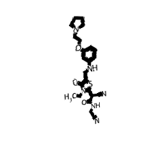 CCn1c(=C(C#N)C(=O)NCC#N)sc(=CNc2cccc(OCCN3CCCC3)c2)c1=O